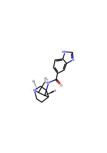 C[C@H]1[C@H](NC(=O)c2ccc3[nH]cnc3c2)C2CCN1CC2